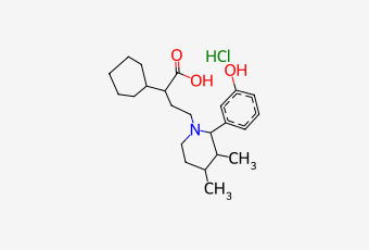 CC1CCN(CCC(C(=O)O)C2CCCCC2)C(c2cccc(O)c2)C1C.Cl